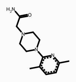 Cc1ccc(C)c(N2CCN(CC(N)=O)CC2)n1